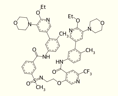 CCOc1ncc(-c2cc(NC(=O)c3cccc(S(C)(=O)=NCCOc4cnc(C(F)(F)F)cc4C(=O)Nc4ccc(C)c(-c5cnc(OCC)c(N6CCOCC6)c5)c4)c3)ccc2C)cc1N1CCOCC1